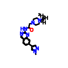 [2H]C([2H])([2H])N1CCN(CC(=O)Nc2ncc3ccc(-c4cnn(C)c4)cc3n2)CC1